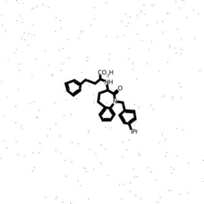 CC(C)c1ccc(CN2C(=O)C(NC(CCc3ccccc3)C(=O)O)CCc3ccccc32)cc1